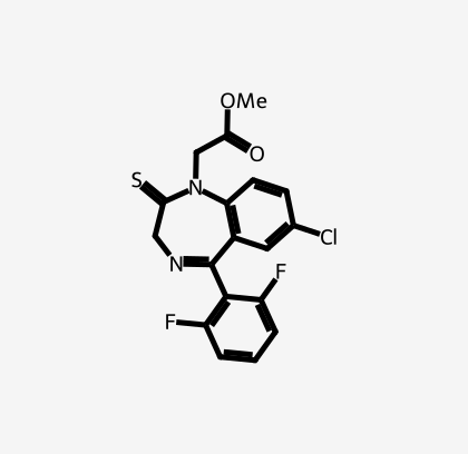 COC(=O)CN1C(=S)CN=C(c2c(F)cccc2F)c2cc(Cl)ccc21